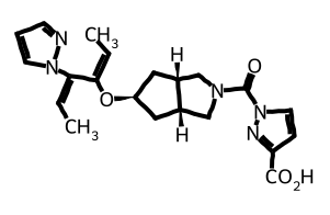 C/C=C(O[C@H]1C[C@@H]2CN(C(=O)n3ccc(C(=O)O)n3)C[C@@H]2C1)\C(=C/C)n1cccn1